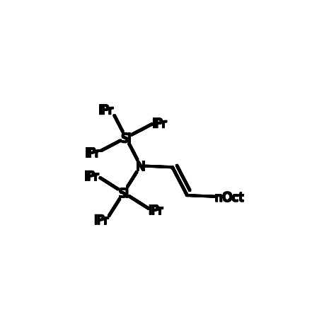 CCCCCCCCC=CN([Si](C(C)C)(C(C)C)C(C)C)[Si](C(C)C)(C(C)C)C(C)C